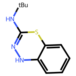 CC(C)(C)NC1=NNc2ccccc2S1